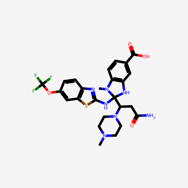 CN1CCN(C(CC(N)=O)C2(Nc3nc4ccc(OC(F)(F)F)cc4s3)Nc3cc(C(=O)O)ccc3N2C)CC1